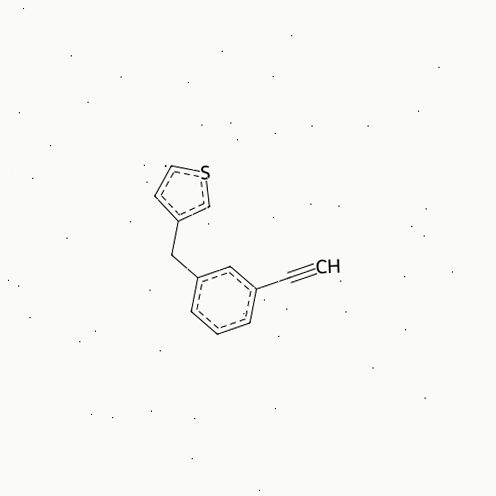 C#Cc1cccc(Cc2c[c]sc2)c1